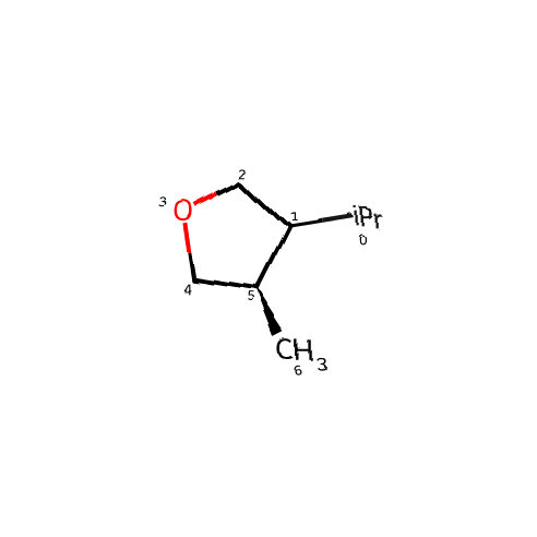 CC(C)C1COC[C@@H]1C